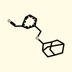 O=Cc1cccc(COC2C3CC4CC(C3)CC2C4)c1